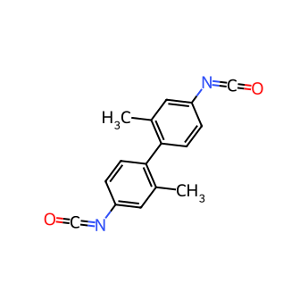 Cc1cc(N=C=O)ccc1-c1ccc(N=C=O)cc1C